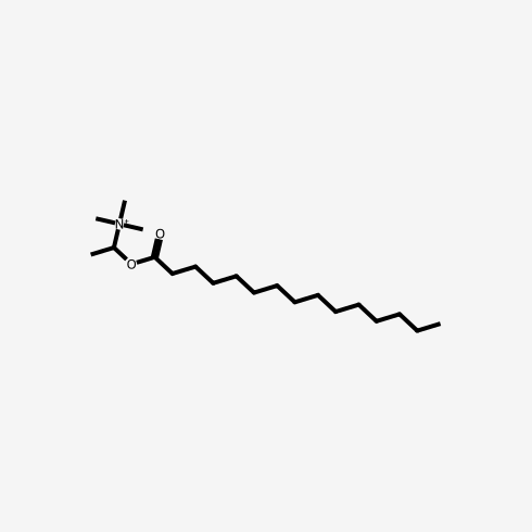 CCCCCCCCCCCCCCC(=O)OC(C)[N+](C)(C)C